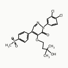 CC(C)(O)CCOc1c(-c2ccc(S(C)(=O)=O)cc2)cnn(-c2ccc(Cl)c(Cl)c2)c1=O